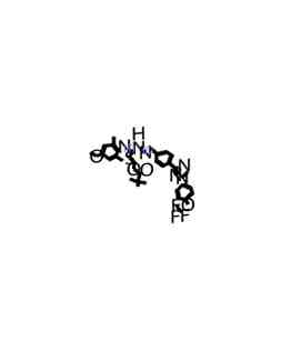 COc1cc(C)c(/N=C(/N/N=C/c2ccc(-c3ncn(-c4ccc(OC(F)(F)F)cc4)n3)cc2)SCOC(=O)C(C)(C)C)c(C)c1